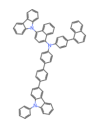 c1ccc(-n2c3ccccc3c3cc(-c4ccc(-c5ccc(N(c6ccc(-c7cccc8ccccc78)cc6)c6ccc(-n7c8ccccc8c8ccccc87)c7ccccc67)cc5)cc4)ccc32)cc1